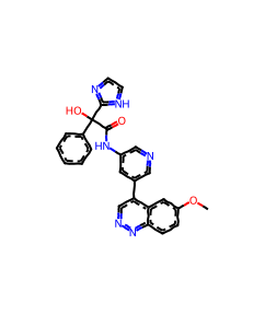 COc1ccc2nncc(-c3cncc(NC(=O)C(O)(c4ccccc4)c4ncc[nH]4)c3)c2c1